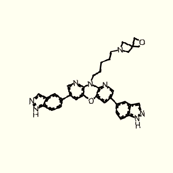 c1cc2[nH]ncc2cc1-c1cnc2c(c1)Oc1cc(-c3ccc4[nH]ncc4c3)cnc1N2CCCCCN1CC2(COC2)C1